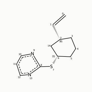 C=C[C@@H]1CCC[C@H](Sc2ncccn2)C1